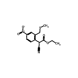 CCOC(=O)C(C#N)c1ccc([N+](=O)[O-])cc1CSC